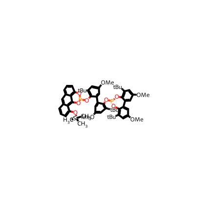 COc1cc(-c2cc(OC)cc(C(C)(C)C)c2Op2oc3c(C(C)(C)C)cc(OC)cc3c3cc(OC)cc(C(C)(C)C)c3o2)c(OP2Oc3cccc4cc5cccc(O[Si](C)(C)C)c5c(c34)O2)c(C(C)(C)C)c1